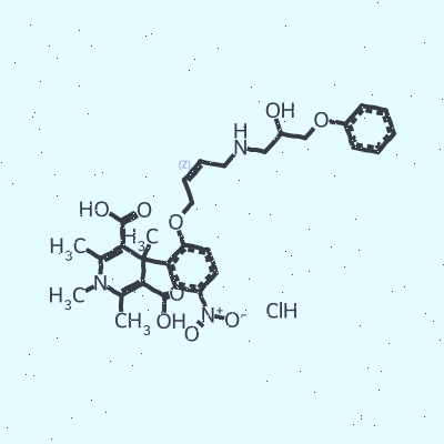 CC1=C(C(=O)O)C(C)(c2cc([N+](=O)[O-])ccc2OC/C=C\CNCC(O)COc2ccccc2)C(C(=O)O)=C(C)N1C.Cl